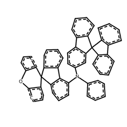 c1ccc(N(c2ccc3c(c2)C2(c4ccccc4-c4ccccc42)c2ccccc2-3)c2cccc3c2-c2ccccc2C32c3ccccc3Oc3ccccc32)cc1